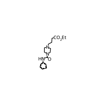 CCOC(=O)CCCN1CCN(C(=O)Nc2ccccc2)CC1